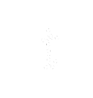 O=S(=O)(c1ccc(-c2ccc3c(c2)c2ccccc2n3-c2nc(-c3ccccc3)nc(-c3ccccc3)n2)cc1)c1ccc(-n2c3ccccc3c3ccc4oc5ccccc5c4c32)cc1